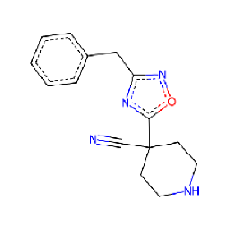 N#CC1(c2nc(Cc3ccccc3)no2)CCNCC1